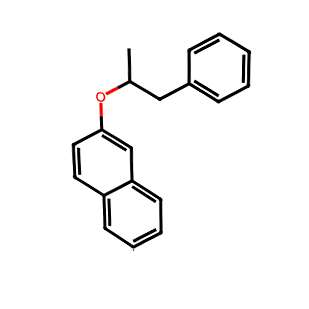 CC(Cc1ccccc1)Oc1ccc2c[c]ccc2c1